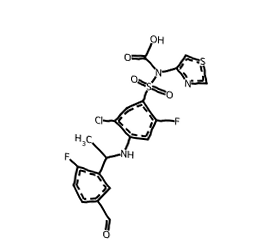 CC(Nc1cc(F)c(S(=O)(=O)N(C(=O)O)c2cscn2)cc1Cl)c1cc(C=O)ccc1F